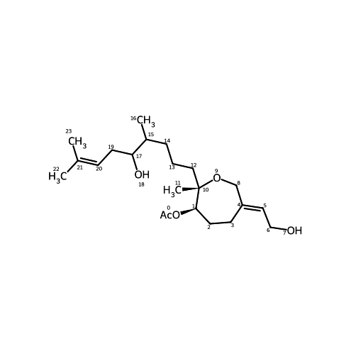 CC(=O)O[C@@H]1CC/C(=C\CO)CO[C@@]1(C)CCCC(C)C(O)CC=C(C)C